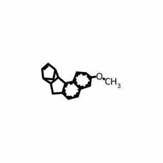 COc1ccc2c3c(ccc2c1)CC1C2C=CC(C2)C31